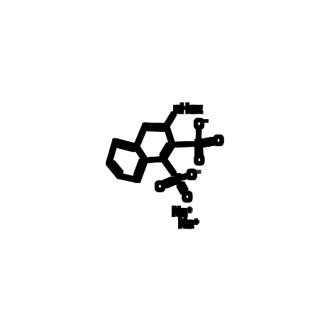 CCCCCCc1cc2ccccc2c(S(=O)(=O)[O-])c1S(=O)(=O)[O-].[Na+].[Na+]